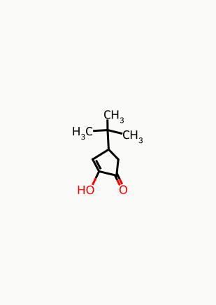 CC(C)(C)C1C=C(O)C(=O)C1